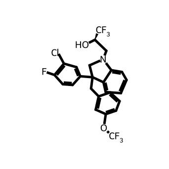 O[C@H](CN1CC(Cc2cccc(OC(F)(F)F)c2)(c2ccc(F)c(Cl)c2)c2ccccc21)C(F)(F)F